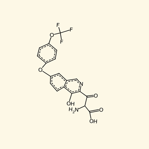 NC(C(=O)O)C(=O)c1ncc2cc(Oc3ccc(OC(F)(F)F)cc3)ccc2c1O